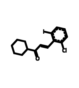 O=C(/C=C/c1c(Cl)cccc1I)C1CCCCC1